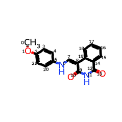 COc1ccc(N/C=C2\C(=O)NC(=O)c3ccccc32)cc1